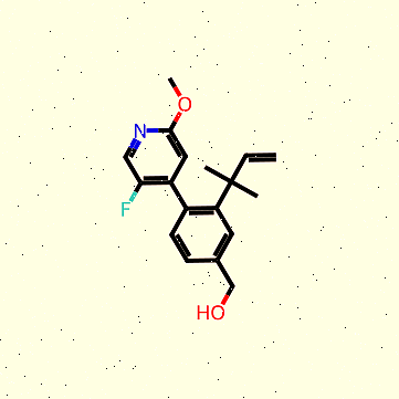 C=CC(C)(C)c1cc(CO)ccc1-c1cc(OC)ncc1F